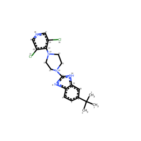 CC(C)(C)c1ccc2nc(N3CCN(c4c(Cl)cncc4Cl)CC3)[nH]c2c1